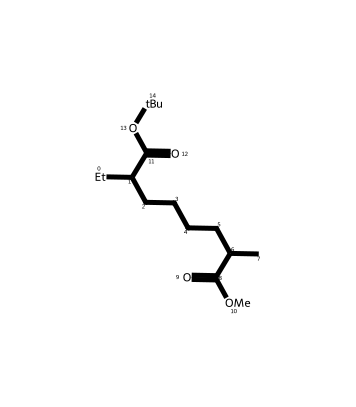 CCC(CCCCC(C)C(=O)OC)C(=O)OC(C)(C)C